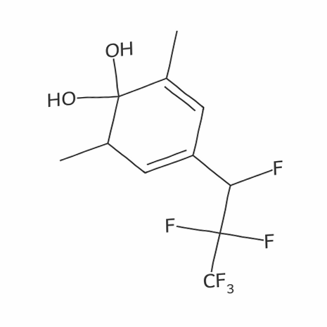 CC1=CC(C(F)C(F)(F)C(F)(F)F)=CC(C)C1(O)O